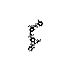 COC(=O)C[C@@H](NC(=O)C1CCOCC1)c1ccc(NC(=O)Cc2ccc(NC(=O)Nc3ccccc3C)c(OC)c2)cc1